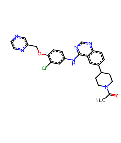 CC(=O)N1CCC(c2ccc3ncnc(Nc4ccc(OCc5cnccn5)c(Cl)c4)c3c2)CC1